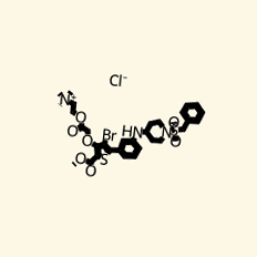 COC(=O)c1sc(-c2cccc(NC3CCN(S(=O)(=O)Cc4ccccc4)CC3)c2)c(Br)c1OCC(=O)OCC[N+](C)(C)C.[Cl-]